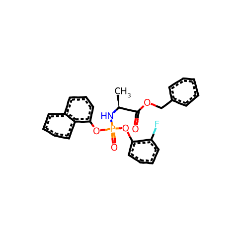 C[C@H](NP(=O)(Oc1ccccc1F)Oc1cccc2ccccc12)C(=O)OCc1ccccc1